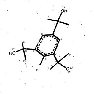 CC(C)(O)c1cc(C(C)(C)O)c(I)c(C(C)(C)O)c1